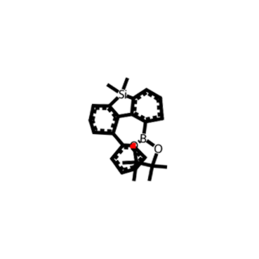 CC1(C)OB(c2cccc3c2-c2c(-c4ccccc4)cccc2[Si]3(C)C)OC1(C)C